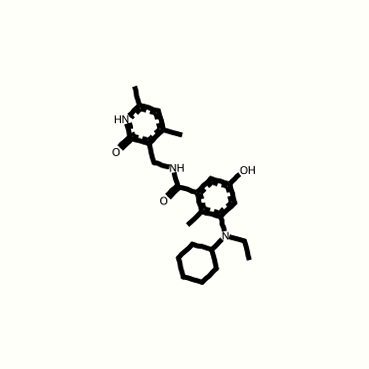 CCN(c1cc(O)cc(C(=O)NCc2c(C)cc(C)[nH]c2=O)c1C)C1CCCCC1